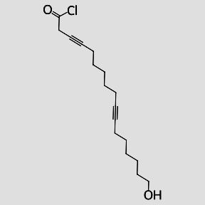 O=C(Cl)CC#CCCCCCC#CCCCCCCO